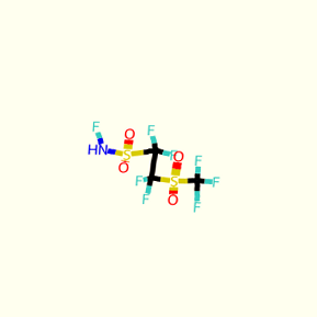 O=S(=O)(NF)C(F)(F)C(F)(F)S(=O)(=O)C(F)(F)F